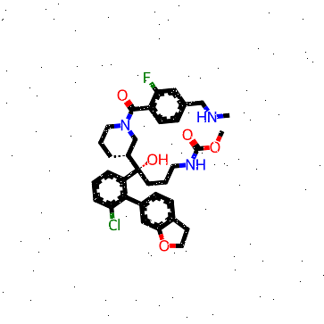 CNCc1ccc(C(=O)N2CCC[C@@H]([C@@](O)(CCCNC(=O)OC)c3cccc(Cl)c3-c3ccc4c(c3)OCC4)C2)c(F)c1